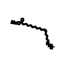 COC(=O)CCCCCCCCC/C=C\CCCCN=[N+]=[N-]